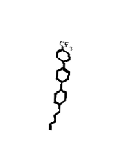 C=CCCCC1CCC(C2CC=C(C3CCC(C(F)(F)F)CC3)CC2)CC1